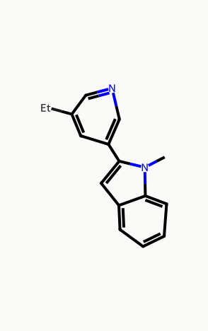 CCc1cncc(-c2cc3ccccc3n2C)c1